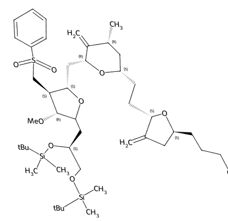 C=C1C[C@H](CCCO)O[C@H]1CC[C@H]1C[C@@H](C)C(=C)[C@@H](C[C@@H]2OC(C[C@@H](CO[Si](C)(C)C(C)(C)C)O[Si](C)(C)C(C)(C)C)[C@H](OC)[C@H]2CS(=O)(=O)c2ccccc2)O1